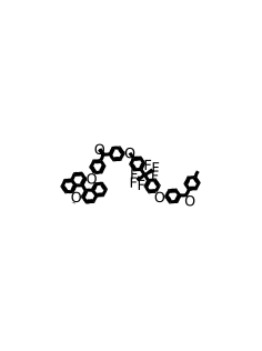 COc1ccc2ccccc2c1-c1c(Oc2ccc(C(=O)c3ccc(Oc4ccc(C(c5ccc(Oc6ccc(C(=O)c7ccc(C)cc7)cc6)cc5)(C(F)(F)F)C(F)(F)F)cc4)cc3)cc2)ccc2ccccc12